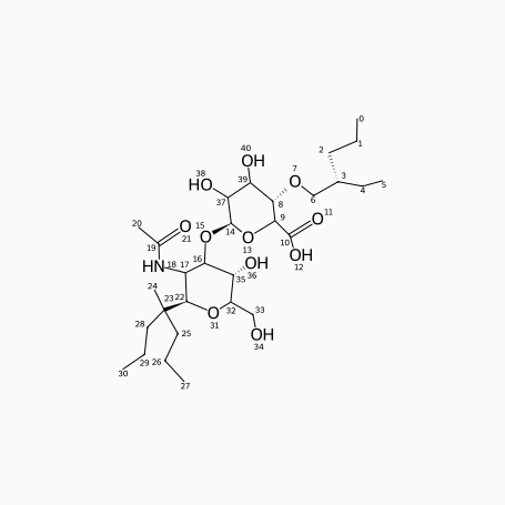 CCC[C@H](CC)CO[C@@H]1C(C(=O)O)O[C@@H](OC2C(NC(C)=O)[C@H](C(C)(CCC)CCC)OC(CO)[C@H]2O)C(O)C1O